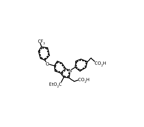 CCOC(=O)c1c(CC(=O)O)n(-c2ccc(CC(=O)O)cc2)c2ccc(Oc3ccc(C(F)(F)F)cc3)cc12